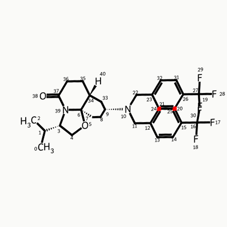 CC(C)[C@H]1CO[C@]23CC[C@@H](N(Cc4ccc(C(F)(F)F)cc4)Cc4ccc(C(F)(F)F)cc4)C[C@H]2CCC(=O)N13